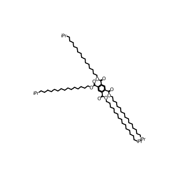 CC(C)CCCCCCCCCCCCCCCOC(=O)c1cc(C(=O)OCCCCCCCCCCCCCCCC(C)C)c(C(=O)OCCCCCCCCCCCCCCCC(C)C)cc1C(=O)OCCCCCCCCCCCCCCCC(C)C